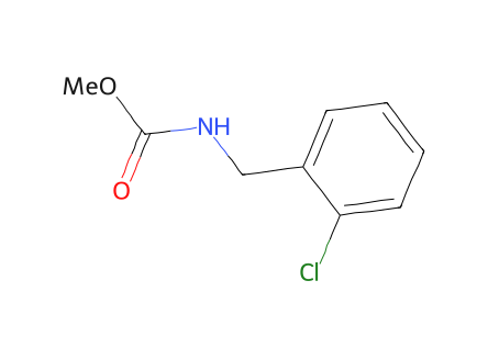 COC(=O)NCc1ccccc1Cl